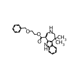 CC1(C)CNC=C(C(=O)OCCOCc2ccccc2)c2[nH]c3ccccc3c21